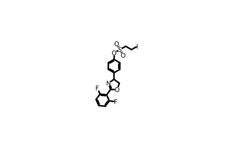 O=S(=O)(CCI)Oc1ccc(C2COC(c3c(F)cccc3F)=N2)cc1